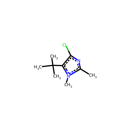 Cc1nc(Cl)c(C(C)(C)C)n1C